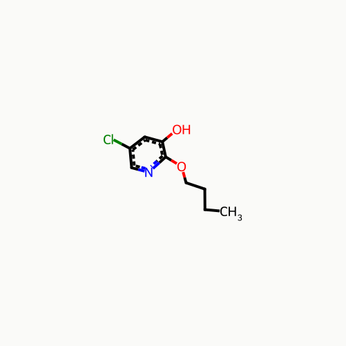 CCCCOc1ncc(Cl)cc1O